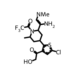 CN/C=C(\N)C1CC(c2sc(Cl)cc2C(=O)CO)CC(C)N1C(=O)C(F)(F)F